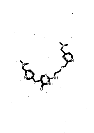 CN(C)Cc1ccnc(CSCCNc2ncc(Cc3ccc(CN(C)C)nc3)c(=O)[nH]2)c1